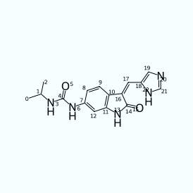 CC(C)NC(=O)Nc1ccc2c(c1)NC(=O)/C2=C\c1cnc[nH]1